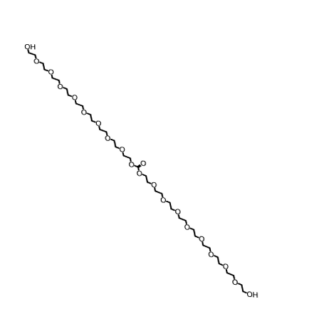 O=C(OCCOCCOCCOCCOCCOCCOCCOCCOCCO)OCCOCCOCCOCCOCCOCCOCCOCCOCCO